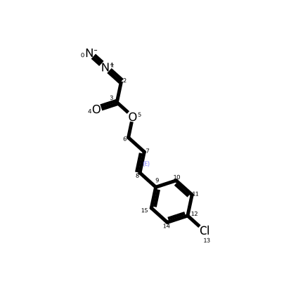 [N-]=[N+]=CC(=O)OC/C=C/c1ccc(Cl)cc1